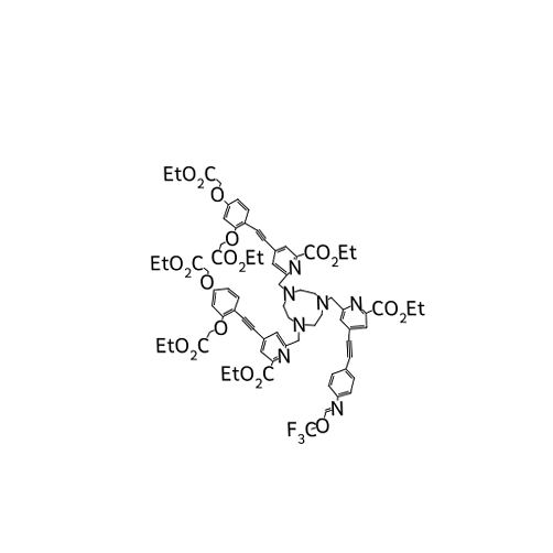 CCOC(=O)COc1ccc(C#Cc2cc(CN3CCN(Cc4cc(C#Cc5ccc(N=COC(F)(F)F)cc5)cc(C(=O)OCC)n4)CCN(Cc4cc(C#Cc5ccc(OCC(=O)OCC)cc5OCC(=O)OCC)cc(C(=O)OCC)n4)CC3)nc(C(=O)OCC)c2)c(OCC(=O)OCC)c1